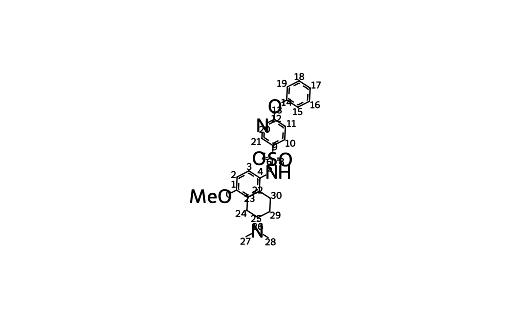 COc1ccc(NS(=O)(=O)c2ccc(Oc3ccccc3)nc2)c2c1C[C@@H](N(C)C)CC2